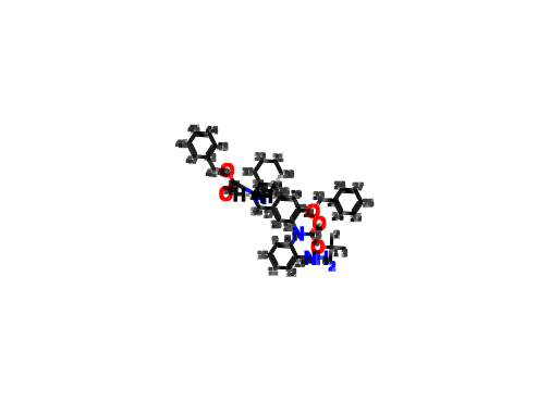 CC(C)(C)OC(=O)N(c1ccccc1N)c1cc2c(cc1OCc1ccccc1)[C@]13CCCC[C@@H]1[C@H](C2)N(C(=O)OCc1ccccc1)CC3